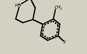 Cc1cc(F)ccc1C1CCNCC1